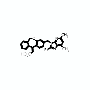 CCc1nc2c(C)cc(C)nc2n1Cc1ccc2c(c1)OCc1ccccc1C2=CC(=O)O